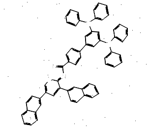 N=C(/N=c1\[nH]cc(-c2ccc3ccccc3c2)cc1-c1ccc2ccccc2c1)c1ccc(-c2cc(P(c3ccccc3)c3ccccc3)cc(P(c3ccccc3)c3ccccc3)c2)cc1